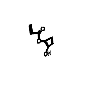 C=CC(=O)OC1CCC1O